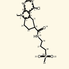 Cn1c2c(c3c(Cl)ncnc31)CC(C(=O)NCCCS(C)(=O)=O)CC2